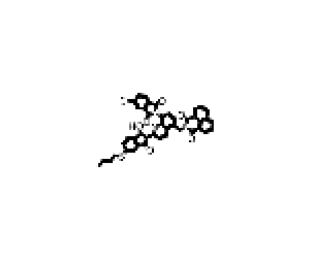 CCCCSc1ccc2c(c1)C(=O)C(c1ccc3c(CN4C(=O)c5cccc6cccc(c56)C4=O)ccc(N4C(=O)c5ccc(Cl)cc5C4=O)c3n1)C2O